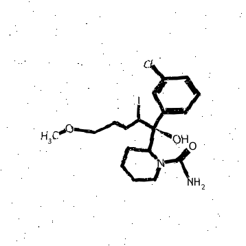 COCCCC(I)[C@](O)(c1cccc(Cl)c1)C1CCCCN1C(N)=O